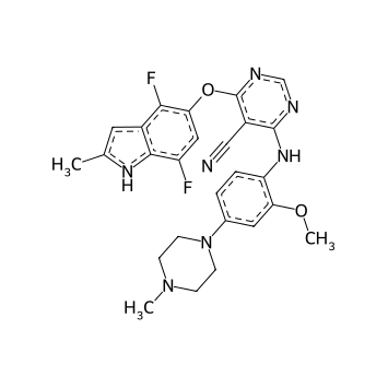 COc1cc(N2CCN(C)CC2)ccc1Nc1ncnc(Oc2cc(F)c3[nH]c(C)cc3c2F)c1C#N